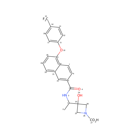 CC(NC(=O)c1ccc2c(Oc3ccc(C(F)(F)F)cc3)cccc2c1)C1(O)CN(C(=O)O)C1